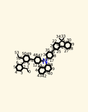 CCc1ccccc1-c1cc(-c2ccc(N(c3ccc(-c4ccc5c(c4)-c4ccccc4C5(C)C)cc3)c3cccc4ccccc34)cc2)ccc1CC